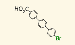 O=C(O)c1ccc(-c2ccc(-c3ccc(Br)cc3)cc2)cc1